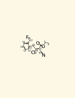 CCOC(=O)C(C#N)=C(Cl)Cc1ccccc1CF